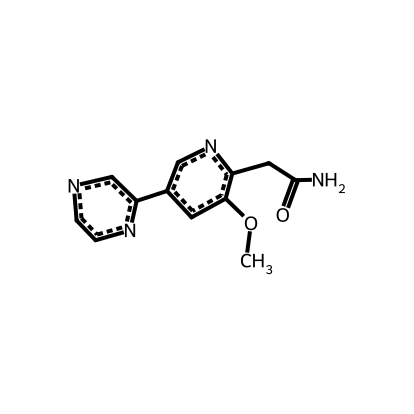 COc1cc(-c2cnccn2)cnc1CC(N)=O